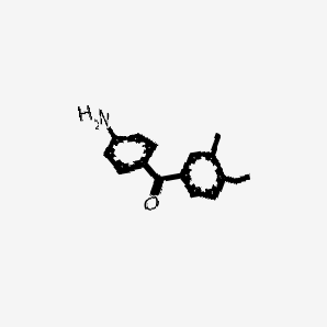 Cc1ccc(C(=O)c2ccc(N)cc2)cc1C